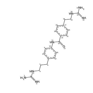 N=C(N)NCCCc1ccc(NC(=O)c2ccc(CCNC(=N)N)cc2)cc1